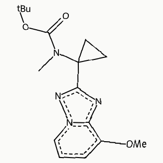 COc1cccn2nc(C3(N(C)C(=O)OC(C)(C)C)CC3)nc12